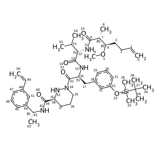 C=CCC[C@@H](OC)[C@@H](C)C(=O)N[C@H](C(=O)N[C@@H](Cc1cccc(O[Si](C)(C)C(C)(C)C)c1)C(=O)N1CCC[C@@H](C(=O)N[C@H](C)c2cccc(C=C)c2)N1)C(C)C